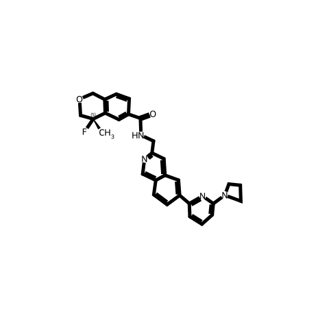 C[C@@]1(F)COCc2ccc(C(=O)NCc3cc4cc(-c5cccc(N6CCC6)n5)ccc4cn3)cc21